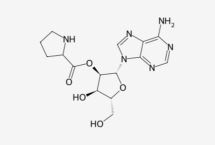 Nc1ncnc2c1ncn2[C@@H]1O[C@H](CO)[C@@H](O)[C@H]1OC(=O)C1CCCN1